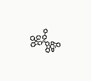 c1ccc(-c2ccc(N(c3ccc4c(c3)-c3ccccc3C43c4ccccc4-n4c5ccccc5c5cccc3c54)c3ccc4c(c3)C(c3ccccc3)(c3ccccc3)c3ccccc3-4)cc2)cc1